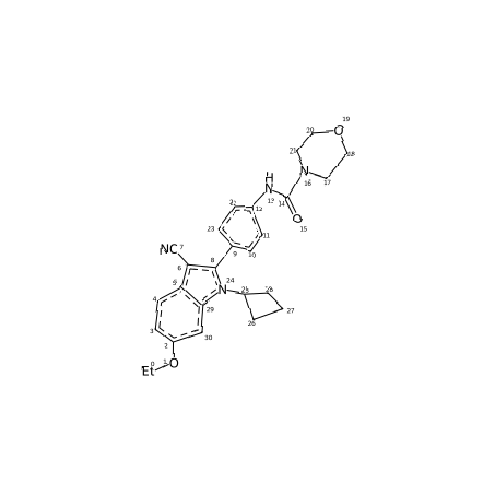 CCOc1ccc2c(C#N)c(-c3ccc(NC(=O)N4CCOCC4)cc3)n(C3CCC3)c2c1